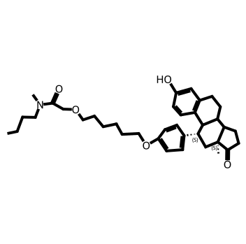 CCCCN(C)C(=O)COCCCCCCOc1ccc([C@H]2C[C@]3(C)C(=O)CCC3C3CCc4cc(O)ccc4C32)cc1